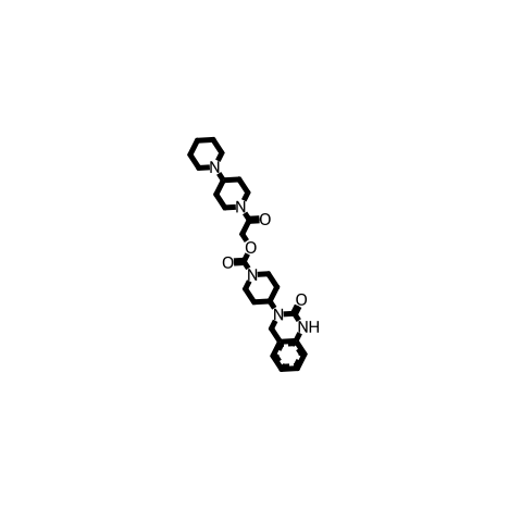 O=C(COC(=O)N1CCC(N2Cc3ccccc3NC2=O)CC1)N1CCC(N2CCCCC2)CC1